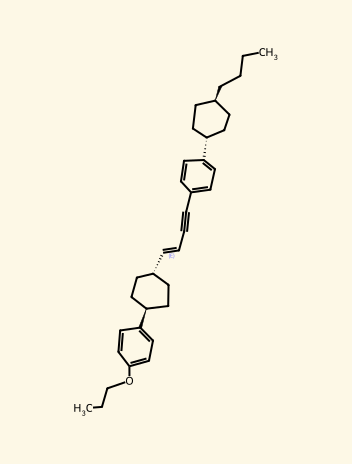 CCCC[C@H]1CC[C@H](c2ccc(C#C/C=C/[C@H]3CC[C@H](c4ccc(OCCC)cc4)CC3)cc2)CC1